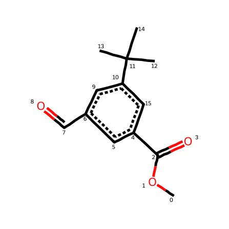 COC(=O)c1cc(C=O)cc(C(C)(C)C)c1